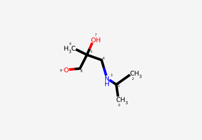 CC(C)NCC(C)(O)C[O]